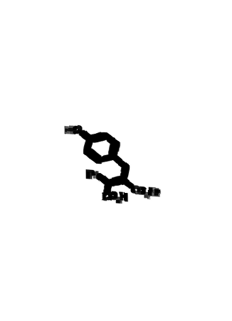 CCOC(=O)C(Cc1ccc(O)cc1)=C(C(=O)O)C(C)C